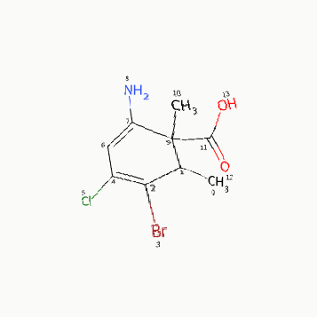 CC1C(Br)=C(Cl)C=C(N)C1(C)C(=O)O